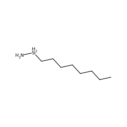 CCCCCCCC[SiH2]N